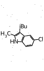 CCC(C)c1c(C)[nH]c2ccc(Cl)cc12